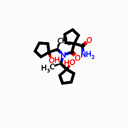 C[C@@H](N(C(=O)C1(C(N)=O)CCCC1)[C@H](C)C1(O)CCCC1)C1(O)CCCC1